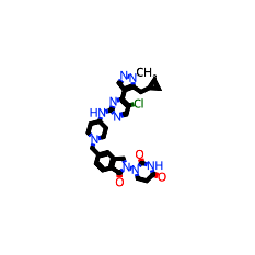 Cn1ncc(-c2nc(NC3CCN(Cc4ccc5c(c4)CN(N4CCC(=O)NC4=O)C5=O)CC3)ncc2Cl)c1CC1CC1